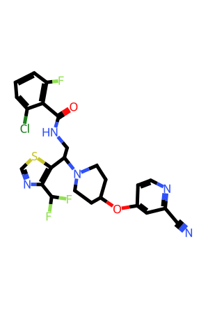 N#Cc1cc(OC2CCN(C(CNC(=O)c3c(F)cccc3Cl)c3scnc3C(F)F)CC2)ccn1